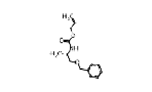 [CH2][C@@H](COCc1ccccc1)NC(=O)OCC=C